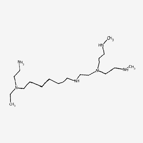 CCN(CCN)CCCCCCNCCN(CCNC)CCNC